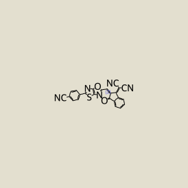 N#CC(C#N)=C1/C(=C/c2nc3sc(-c4ccc(C#N)cc4)nc3o2)C(=O)c2ccccc21